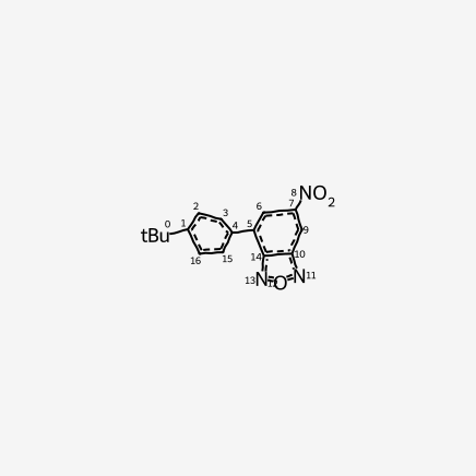 CC(C)(C)c1ccc(-c2cc([N+](=O)[O-])cc3nonc23)cc1